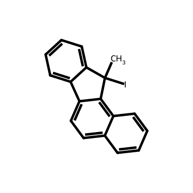 CC1(I)c2ccccc2-c2ccc3ccccc3c21